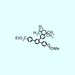 CCOC(=O)c1ccc(-c2ccc(-c3ccc(OCOC)cc3)c(-c3ccc4c(c3)C(C)(C)CCC4(C)C)c2)cc1